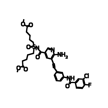 COC(=O)CCCCS(=O)(CCCCC(=O)OC)=NC(=O)c1cnc(N)c(C#Cc2cccc(NC(=O)c3ccc(F)c(Cl)c3)c2)c1